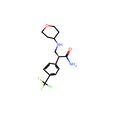 NC(=O)[C@H](CNC1CCOCC1)c1ccc(C(F)(F)F)cc1